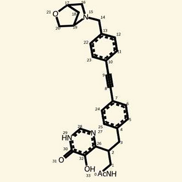 CC(=O)NCC(Cc1ccc(C#Cc2ccc(CN3CC4CC3CO4)cc2)cc1)c1nc[nH]c(=O)c1O